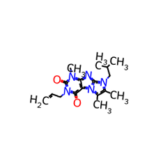 C=CCn1c(=O)c2c(nc3n(CC(C)C)c(C)c(C)n23)n(C)c1=O